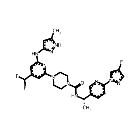 Cc1cc(Nc2cc(C(F)F)cc(N3CCN(C(=O)N[C@@H](C)c4ccc(-n5cc(F)cn5)nc4)CC3)n2)n[nH]1